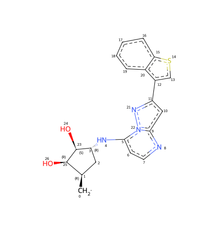 [CH2][C@@H]1C[C@@H](Nc2ccnc3cc(-c4csc5ccccc45)nn23)[C@H](O)[C@@H]1O